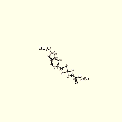 CCOC(=O)c1cc2ccc(N3CC4(CN(C(=O)OC(C)(C)C)C4)C3)cc2s1